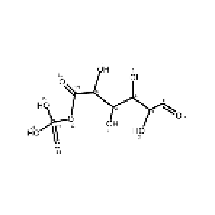 O=CC(O)C(O)C(O)C(O)C(=O)OP(=O)(O)O